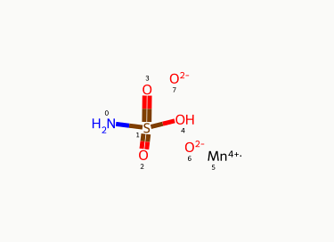 NS(=O)(=O)O.[Mn+4].[O-2].[O-2]